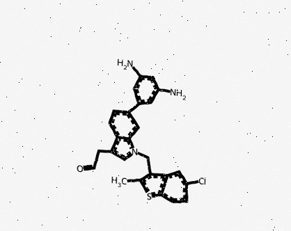 Cc1sc2ccc(Cl)cc2c1Cn1cc(CC=O)c2ccc(-c3cc(N)cc(N)c3)cc21